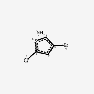 Clc1cc(Br)cs1.N